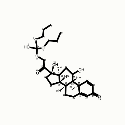 CCCOC(O)(OCCC)OCC(=O)[C@@]1(O)CC[C@H]2[C@@H]3CCC4=CC(=O)C=C[C@]4(C)[C@H]3C(O)C[C@@]21C